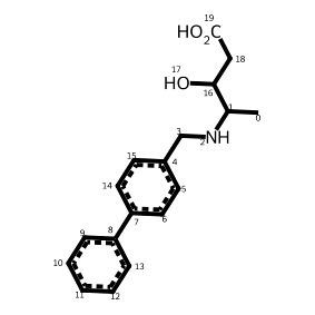 CC(NCc1ccc(-c2ccccc2)cc1)C(O)CC(=O)O